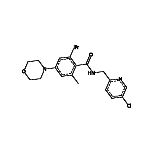 Cc1cc(N2CCOCC2)cc(C(C)C)c1C(=O)NCc1ccc(Cl)cn1